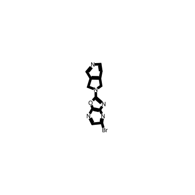 Brc1cnc2oc(N3Cc4ccncc4C3)nc2n1